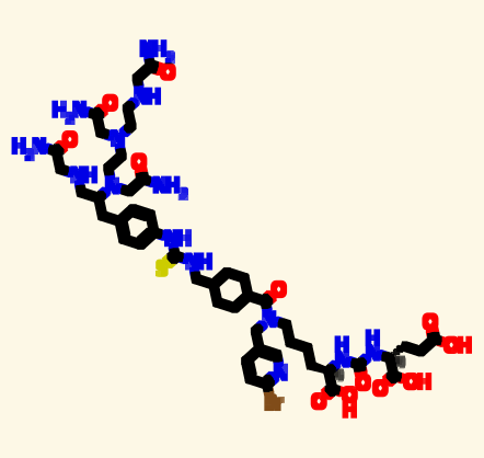 NC(=O)CNCCN(CCN(CC(N)=O)C(CNCC(N)=O)Cc1ccc(NC(=S)NCC2CCC(C(=O)N(CCCC[C@@H](NC(=O)N[C@H](CCC(=O)O)C(=O)O)C(=O)O)Cc3ccc(Br)nc3)CC2)cc1)CC(N)=O